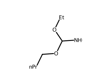 CCCCOC([NH])OCC